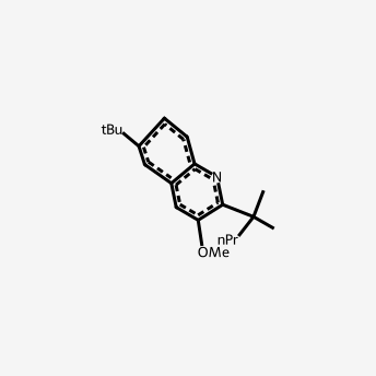 CCCC(C)(C)c1nc2ccc(C(C)(C)C)cc2cc1OC